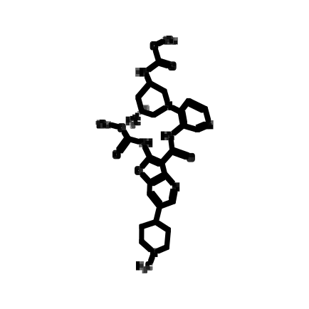 CN1CCC(c2cnc3c(C(=O)Nc4cnccc4N4CC(NC(=O)OC(C)(C)C)C[C@@H](C(F)(F)F)C4)c(NC(=O)OC(C)(C)C)oc3c2)CC1